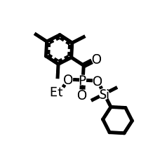 CCOP(=O)(O[Si](C)(C)C1CCCCC1)C(=O)c1c(C)cc(C)cc1C